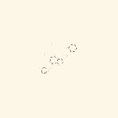 CCOC(=O)Cc1ccccc1OCc1coc2c(Cn3ccnc3)cc(Br)cc12